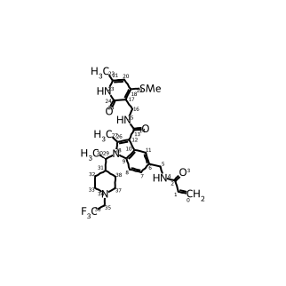 C=CC(=O)NCc1ccc2c(c1)c(C(=O)NCc1c(SC)cc(C)[nH]c1=O)c(C)n2[C@H](C)C1CCN(CC(F)(F)F)CC1